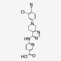 N#Cc1ccc(N2CCc3c(ncnc3Nc3ccc(C(=O)O)cn3)C2)cc1Cl